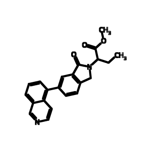 CCC(C(=O)OC)N1Cc2ccc(-c3cccc4cnccc34)cc2C1=O